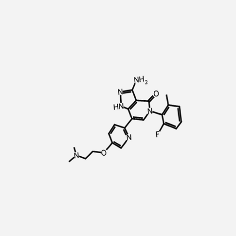 Cc1cccc(F)c1-n1cc(-c2ccc(OCCN(C)C)cn2)c2[nH]nc(N)c2c1=O